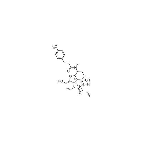 C=CCN1CC[C@]23c4c5ccc(O)c4OC2C(N(C)C(=O)CCc2ccc(C(F)(F)F)cc2)CC[C@@]3(O)[C@H]1C5=O